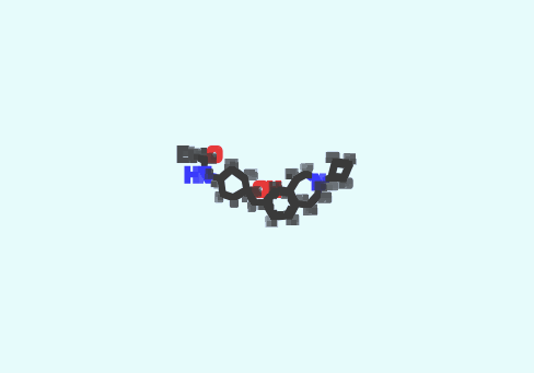 CCC(=O)NC1CCC(O)(Cc2ccc3c(c2)CCN(C2=CC=C2)CC3)CC1